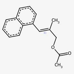 CC(=O)OC/C(C)=C/c1cccc2ccccc12